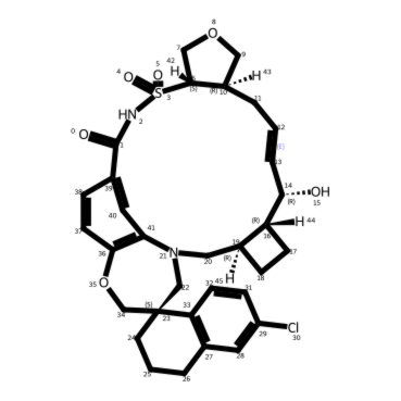 O=C1NS(=O)(=O)[C@@H]2COC[C@H]2C/C=C/[C@H](O)[C@@H]2CC[C@H]2CN2C[C@@]3(CCCc4cc(Cl)ccc43)COc3ccc1cc32